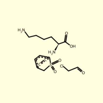 NCCCC[C@H](N)C(=O)O.O=CCCl.O=S1(=O)Cc2ccc1cc2